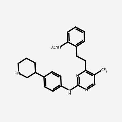 CC(=O)Nc1ccccc1CCc1nc(Nc2ccc(C3CCCNC3)cc2)ncc1C(F)(F)F